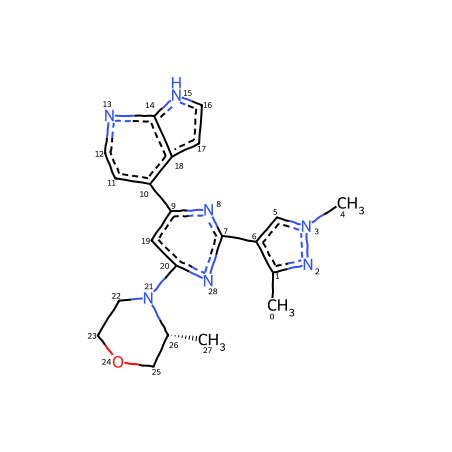 Cc1nn(C)cc1-c1nc(-c2ccnc3[nH]ccc23)cc(N2CCOC[C@H]2C)n1